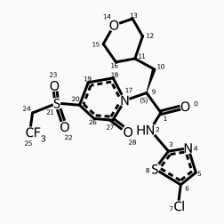 O=C(Nc1ncc(Cl)s1)[C@H](CC1CCOCC1)n1ccc(S(=O)(=O)CC(F)(F)F)cc1=O